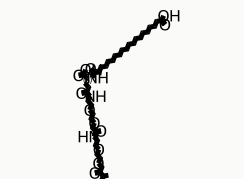 CC(C)C(=O)COCCOCCNC(=O)COCCOCCNC(=O)CC[C@H](NC(=O)CCCCCCCCCCCCCCCCCCC(=O)O)C(=O)O